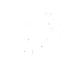 C[C@@]1(c2cc(Nc3cccc4cc(Cl)cnc34)ccc2F)COCC(N)=N1.Cl